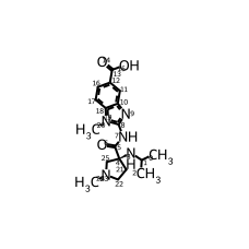 CC(C)N[C@@]1(C(=O)Nc2nc3cc(C(=O)O)ccc3n2C)CCN(C)C1